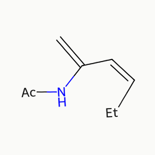 C=C(/C=C\CC)NC(C)=O